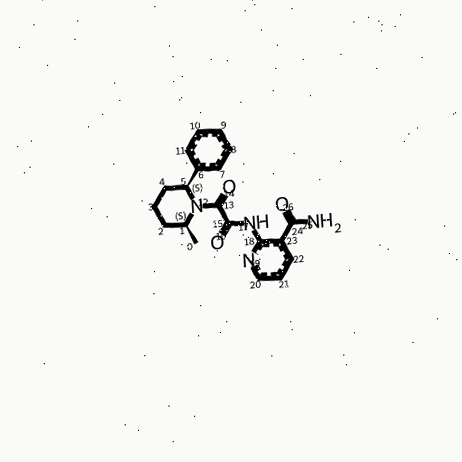 C[C@H]1CCC[C@@H](c2ccccc2)N1C(=O)C(=O)Nc1ncccc1C(N)=O